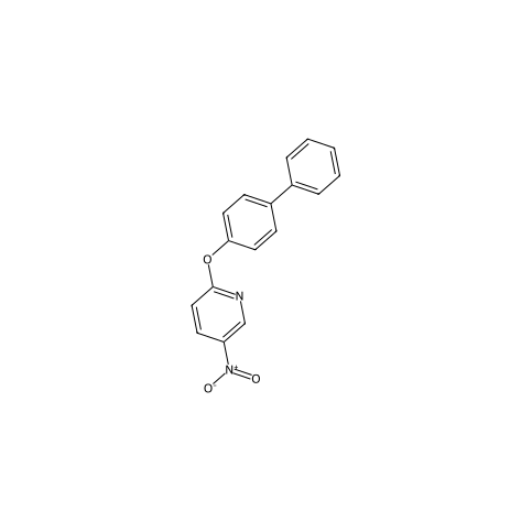 O=[N+]([O-])c1ccc(Oc2ccc(-c3ccccc3)cc2)nc1